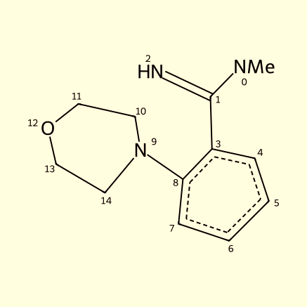 CNC(=N)c1ccccc1N1CCOCC1